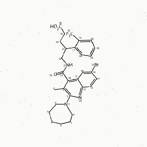 Cc1c(N2CCCCCC2)nc2ccc(Br)cc2c1C(=O)NCC(CCC(=O)O)c1ccccc1C(F)(F)F